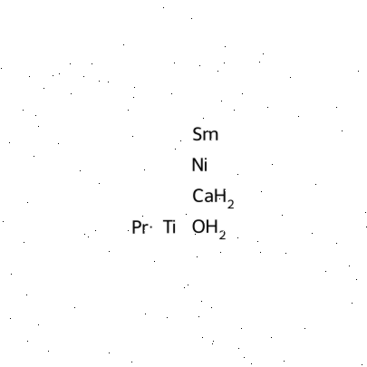 O.[CaH2].[Ni].[Pr].[Sm].[Ti]